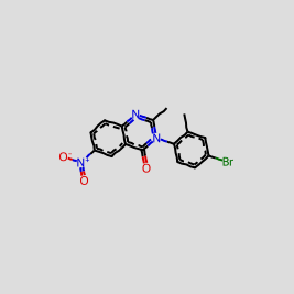 Cc1cc(Br)ccc1-n1c(C)nc2ccc([N+](=O)[O-])cc2c1=O